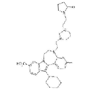 Cc1ccc2c(c1)N(CCN1CCC[C@@H](CCN3CCCC3=O)C1)CCn1c-2c(C2CCCCC2)c2ccc(C(=O)O)cc21